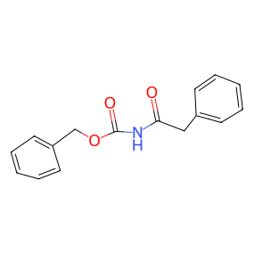 O=C(Cc1ccccc1)NC(=O)OCc1ccccc1